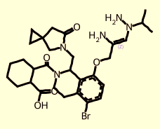 CC(C)N(N)/C=C(\N)COc1ccc(Br)c2c1C(CN1CC3(CC3)CC1=O)N(C(=O)C1CCCCC1C(=O)O)CC2